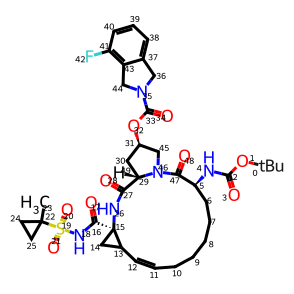 CC(C)(C)OC(=O)N[C@H]1CCCCC/C=C\C2C[C@@]2(C(=O)NS(=O)(=O)C2(C)CC2)NC(=O)[C@@H]2C[C@@H](OC(=O)N3Cc4cccc(F)c4C3)CN2C1=O